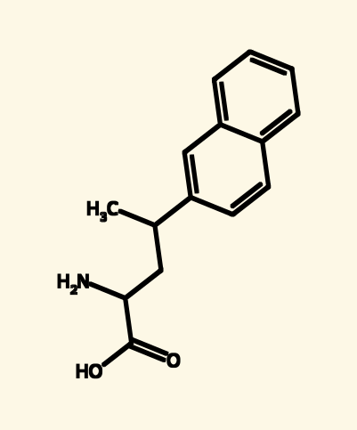 CC(CC(N)C(=O)O)c1ccc2ccccc2c1